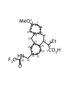 CCC(C(=O)O)C1Cc2ccc(OC)cc2Cc2cc(CNC(=O)C(F)(F)F)ccc21